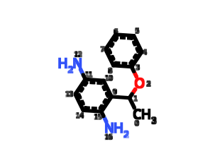 CC(Oc1ccccc1)c1cc(N)ccc1N